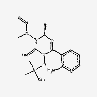 C=NN(C)N[C@@H](C)/N=C(/c1cccnc1N)N(C=N)O[Si](C)(C)C(C)(C)C